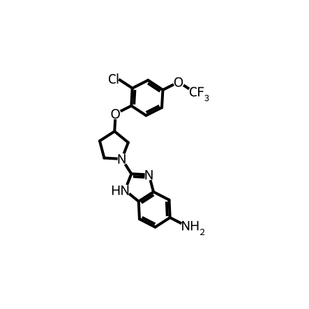 Nc1ccc2[nH]c(N3CCC(Oc4ccc(OC(F)(F)F)cc4Cl)C3)nc2c1